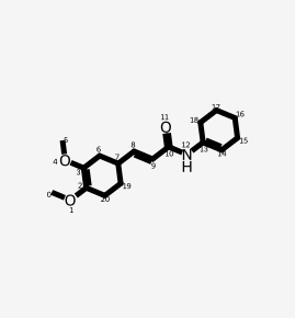 COC1=C(OC)CC(/C=C/C(=O)NC2=CCCCC2)CC1